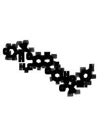 Cc1cc2c(Oc3ccc(NC(=O)C4(C(=O)Nc5ccc(F)cc5)CC4)cc3F)ccnc2cc1OCC1(NC2CCOCC2)CC1